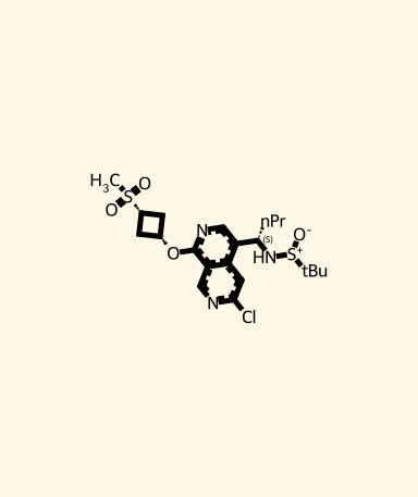 CCC[C@H](N[S+]([O-])C(C)(C)C)c1cnc(O[C@H]2C[C@@H](S(C)(=O)=O)C2)c2cnc(Cl)cc12